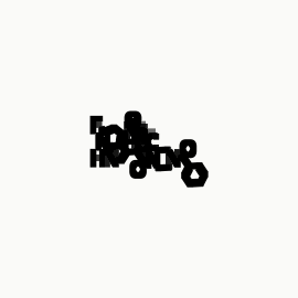 C[C@@H]1CN(C(=O)c2ccccc2)CCN1C(=O)C(=O)c1c[nH]c2nc(F)cc([N+](=O)[O-])c12